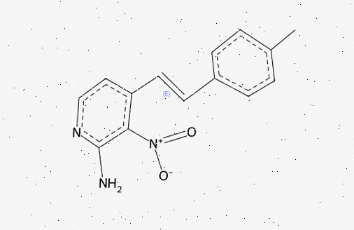 Cc1ccc(/C=C/c2ccnc(N)c2[N+](=O)[O-])cc1